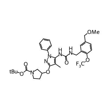 COCc1ccc(OC(F)(F)F)c(CNC(=O)Nc2c(C)c(OC3CCN(C(=O)OC(C)(C)C)C3)nn2-c2ccccc2)c1